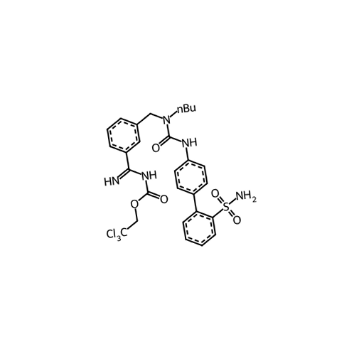 CCCCN(Cc1cccc(C(=N)NC(=O)OCC(Cl)(Cl)Cl)c1)C(=O)Nc1ccc(-c2ccccc2S(N)(=O)=O)cc1